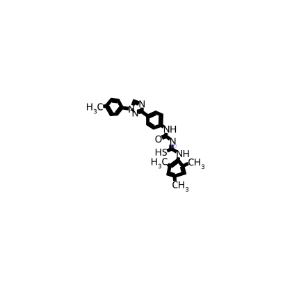 Cc1ccc(-n2cnc(-c3ccc(NC(=O)/N=C(\S)Nc4c(C)cc(C)cc4C)cc3)n2)cc1